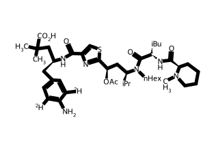 [2H]c1cc(C[C@@H](CC(C)(C)C(=O)O)NC(=O)c2csc([C@@H](C[C@H](C(C)C)N(CCCCCC)C(=O)[C@@H](NC(=O)[C@H]3CCCCN3C)[C@@H](C)CC)OC(C)=O)n2)cc([2H])c1N